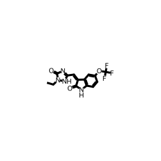 CCn1[nH]c(/C=C2\C(=O)Nc3ccc(OC(F)(F)F)cc32)nc1=O